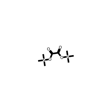 CS(C)(C)OC(=O)C(=O)OS(C)(C)C